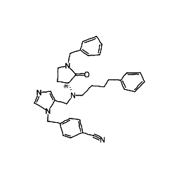 N#Cc1ccc(Cn2cncc2CN(CCCCc2ccccc2)[C@@H]2CCN(Cc3ccccc3)C2=O)cc1